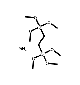 CO[Si](CC[Si](OC)(OC)OC)(OC)OC.[SiH4]